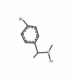 CC(=O)N(C)C(C)c1ccc(Br)cc1